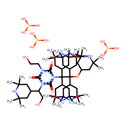 CC1(C)CC(OC(C2CC(C)(C)NC(C)(C)C2)(C2CC(C)(C)NC(C)(C)C2)C(C2CC(C)(C)NC(C)(C)C2)(C2CC(C)(C)NC(C)(C)C2)n2c(=O)n(CCO)c(=O)n(C(CO)C3CC(C)(C)NC(C)(C)C3)c2=O)CC(C)(C)N1.OP(O)O.OP(O)O.OP(O)O